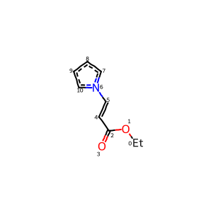 CCOC(=O)C=Cn1cccc1